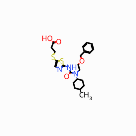 C[C@H]1CC[C@H](N(CCOCc2ccccc2)C(=O)Nc2ncc(SCCC(=O)O)s2)CC1